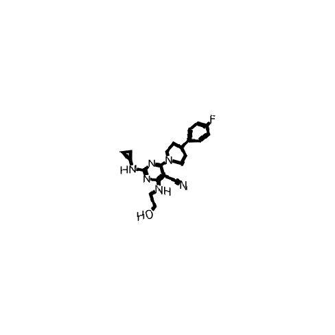 N#Cc1c(NCCO)nc(NC2CC2)nc1N1CCC(c2ccc(F)cc2)CC1